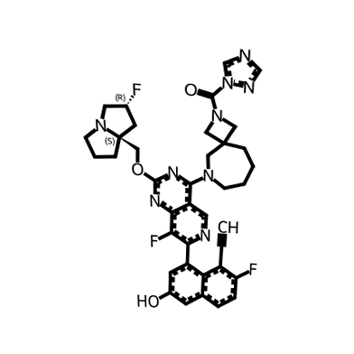 C#Cc1c(F)ccc2cc(O)cc(-c3ncc4c(N5CCCCC6(CN(C(=O)n7cncn7)C6)C5)nc(OC[C@@]56CCCN5C[C@H](F)C6)nc4c3F)c12